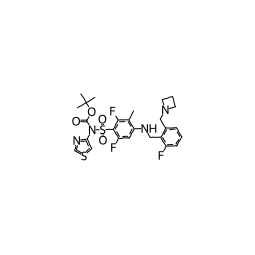 Cc1c(NCc2c(F)cccc2CN2CCC2)cc(F)c(S(=O)(=O)N(C(=O)OC(C)(C)C)c2cscn2)c1F